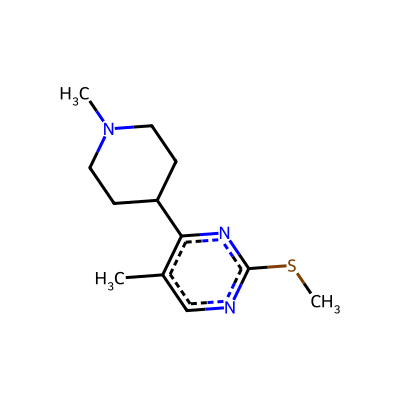 CSc1ncc(C)c(C2CCN(C)CC2)n1